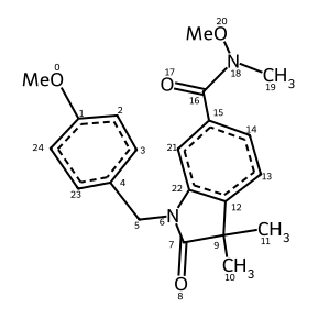 COc1ccc(CN2C(=O)C(C)(C)c3ccc(C(=O)N(C)OC)cc32)cc1